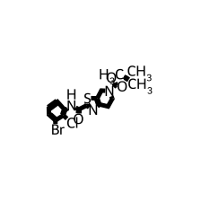 CC(C)(C)OC(=O)N1CCc2nc(C(=O)Nc3c#ccc(Br)c3Cl)sc2C1